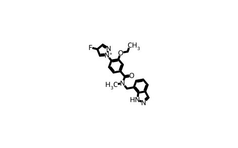 CCOc1cc(C(=O)N(C)Cc2cccc3cn[nH]c23)ccc1[N+]1=CC(F)C=N1